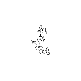 CCC(NC1CCCC1)c1cc(OCC[C@]23CCC4C(CCC5=CC(=O)CC[C@@]54C)C2CCC3O)ccn1